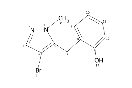 Cn1ncc(Br)c1Cc1ccccc1O